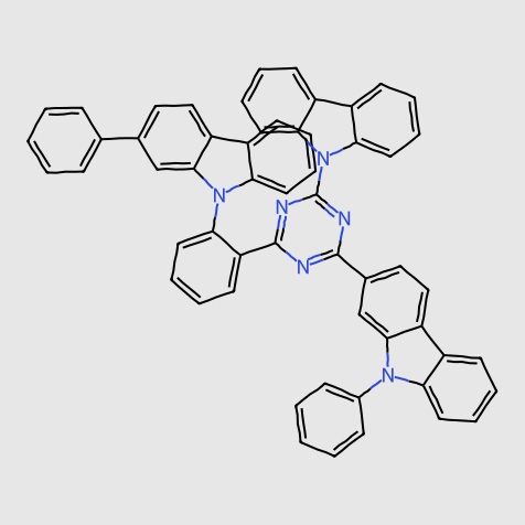 c1ccc(-c2ccc3c4ccccc4n(-c4ccccc4-c4nc(-c5ccc6c7ccccc7n(-c7ccccc7)c6c5)nc(-n5c6ccccc6c6ccccc65)n4)c3c2)cc1